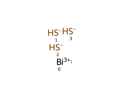 [Bi+3].[SH-].[SH-].[SH-]